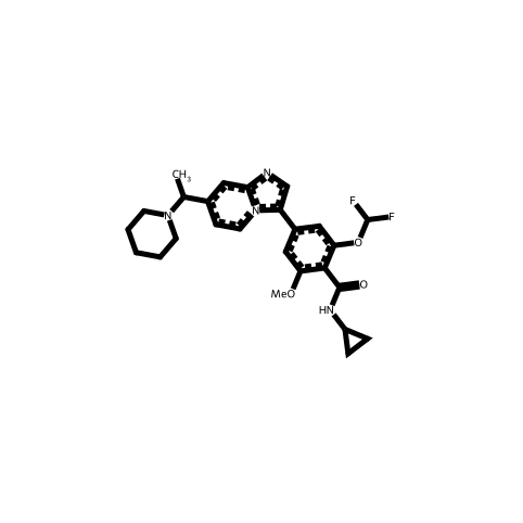 COc1cc(-c2cnc3cc(C(C)N4CCCCC4)ccn23)cc(OC(F)F)c1C(=O)NC1CC1